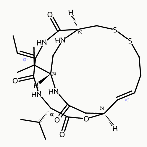 C/C=C1\NC(=O)[C@H]2CSSCC/C=C/[C@H](CC(=O)N[C@H](C(C)C)CN2)OC(=O)[C@H](C(C)C)NC1=O